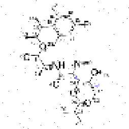 C=N/C(C(=O)N[C@@H](C)C(=O)O[C@@H](C)[C@@H](C)c1c(C)cc(F)cc1C)=C(OC(=O)C(C)C)\C(=C/C)OC